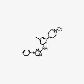 CCN1CCN(c2cc(C)cc(Nc3ncn(-c4ccccc4)n3)c2)CC1